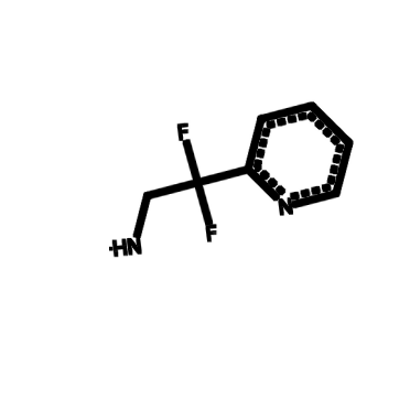 [NH]CC(F)(F)c1ccccn1